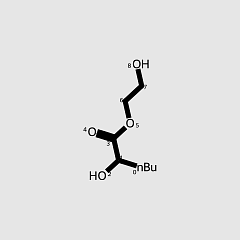 CCCCC(O)C(=O)OCCO